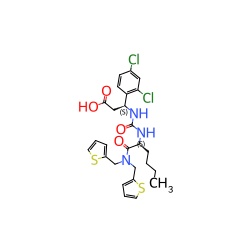 CCCC[C@H](NC(=O)N[C@@H](CC(=O)O)c1ccc(Cl)cc1Cl)C(=O)N(Cc1cccs1)Cc1cccs1